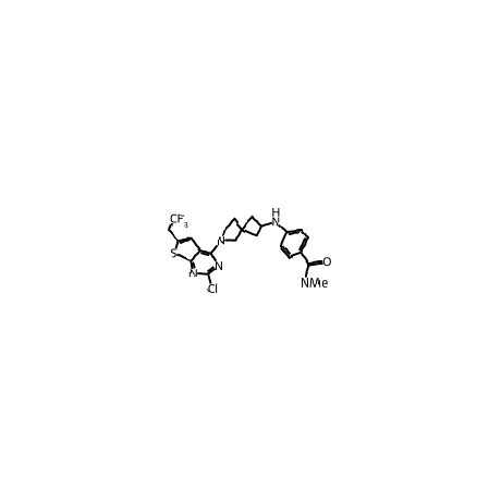 CNC(=O)c1ccc(NC2CC3(CCN(c4nc(Cl)nc5sc(CC(F)(F)F)cc45)C3)C2)cc1